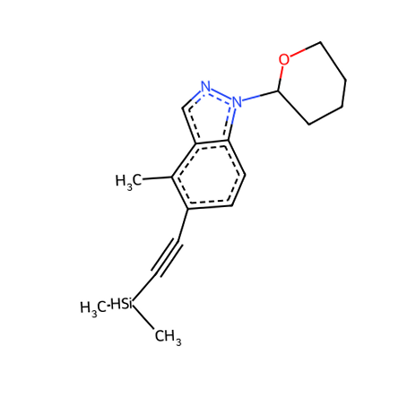 Cc1c(C#C[SiH](C)C)ccc2c1cnn2C1CCCCO1